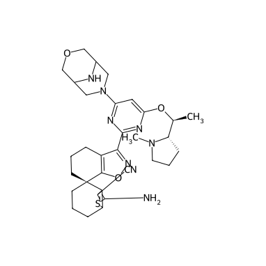 C[C@H](Oc1cc(N2CC3COCC(C2)N3)nc(-c2noc3c2CCC[C@@]32CCCc3sc(N)c(C#N)c32)n1)[C@@H]1CCCN1C